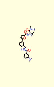 CNC(=O)C(NC(=O)c1ccc(-c2cccc(CNC(=O)c3cccc(N(C)C)c3)c2)o1)C(C)C